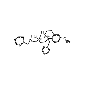 CC(C)Oc1ccc2c(c1)CC[C@@H]1C[C@@](O)(COCc3ccccn3)CC[C@@]21Cc1ccccc1